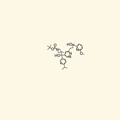 COc1cccc([C@](C)(O)CCc2cc(C(O)(c3ccc(C(C)C)cc3)C3(C)CN(C(=O)OC(C)(C)C)C3)cnn2)n1